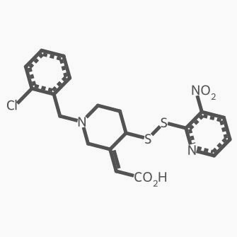 O=C(O)/C=C1/CN(Cc2ccccc2Cl)CCC1SSc1ncccc1[N+](=O)[O-]